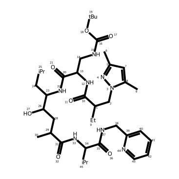 CCC(Cn1nc(C)cc1C)C(=O)NC(CNC(=O)OC(C)(C)C)C(=O)NC(CC(C)C)C(O)CC(C)C(=O)NC(C(=O)NCc1ccccn1)C(C)C